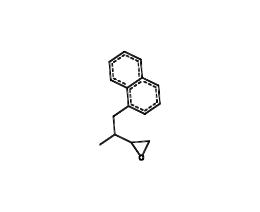 CC(Cc1cccc2ccccc12)C1CO1